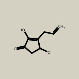 C=CCC1=C(O)C(=O)CC1Cl